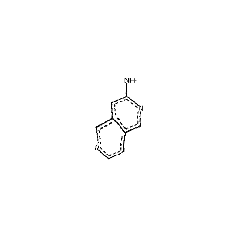 [NH]c1cc2cnccc2cn1